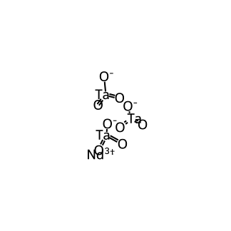 [Nd+3].[O]=[Ta](=[O])[O-].[O]=[Ta](=[O])[O-].[O]=[Ta](=[O])[O-]